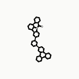 O=c1c2ccccc2c2cccc3c4cc(-c5cccc(-c6ccc7c8ccccc8c8ccccc8c7c6)c5)ccc4n1c23